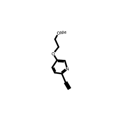 C#Cc1ccc(OCCOC)cn1